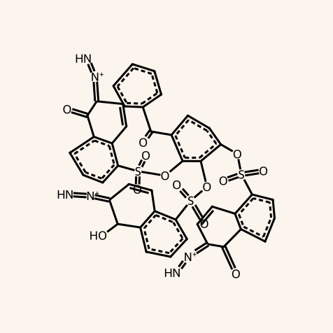 N=[N+]=C1C=Cc2c(cccc2S(=O)(=O)Oc2ccc(C(=O)c3ccccc3)c(OS(=O)(=O)c3cccc4c3C=CC(=[N+]=N)C4=O)c2OS(=O)(=O)c2cccc3c2C=CC(=[N+]=N)C3O)C1=O